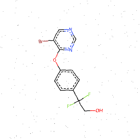 OCC(F)(F)c1ccc(Oc2ncncc2Br)cc1